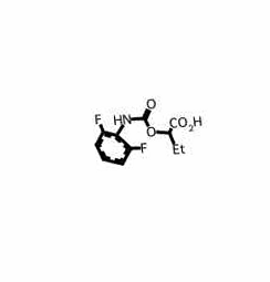 CCC(OC(=O)Nc1c(F)cccc1F)C(=O)O